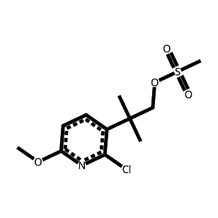 COc1ccc(C(C)(C)COS(C)(=O)=O)c(Cl)n1